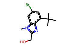 Cn1c(CO)nc2c(C(C)(C)C)cc(Br)cc21